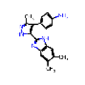 Cc1cc2nc(-c3[nH]nc(C)c3-c3ccc(N)cc3)[nH]c2cc1C